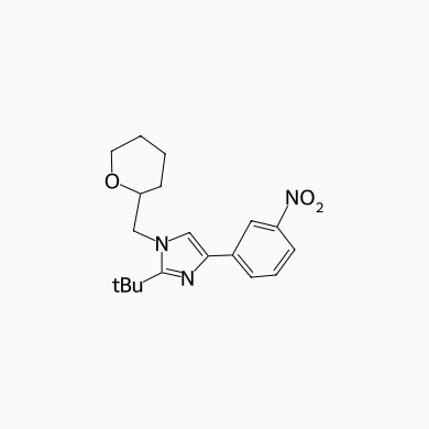 CC(C)(C)c1nc(-c2cccc([N+](=O)[O-])c2)cn1CC1CCCCO1